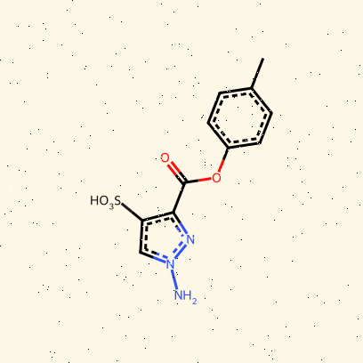 Cc1ccc(OC(=O)c2nn(N)cc2S(=O)(=O)O)cc1